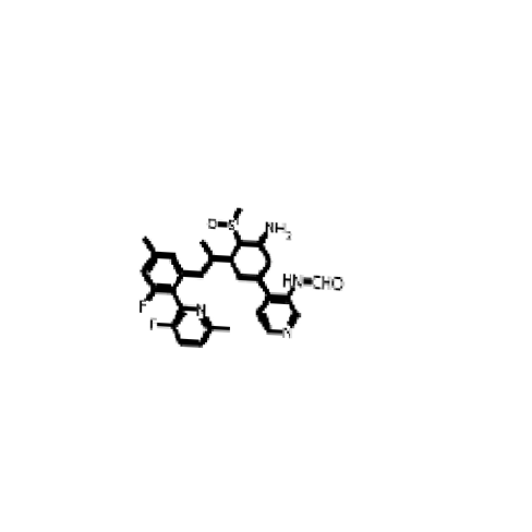 Cc1cc(F)c(-c2nc(C)ccc2F)c(CC(C)C2CC(c3ccncc3NC=O)CC(N)C2[S+](C)[O-])c1